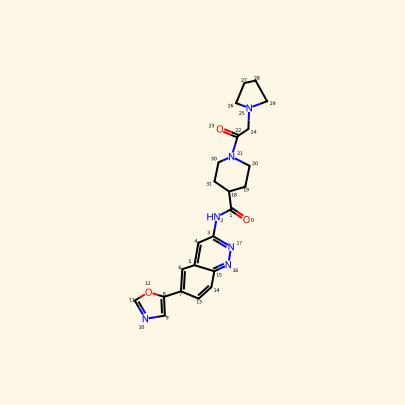 O=C(Nc1cc2cc(-c3cnco3)ccc2nn1)C1CCN(C(=O)CN2CCCC2)CC1